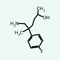 CC(O)CCC(C)(CN)c1ccc(F)cc1